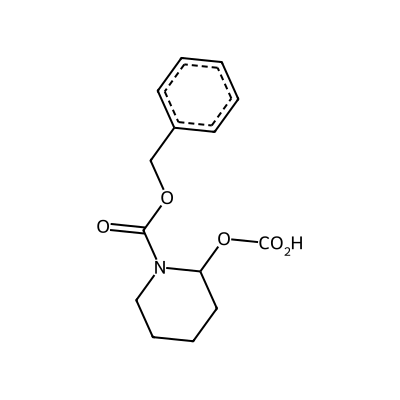 O=C(O)OC1CCCCN1C(=O)OCc1ccccc1